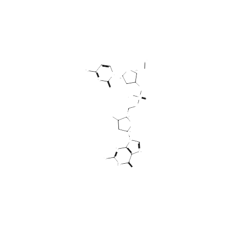 CP(=O)(OC[C@H]1O[C@@H](n2cnc3c(=O)[nH]c(N)nc32)CC1O)OC1C[C@H](n2ccc(N)nc2=O)O[C@@H]1CO